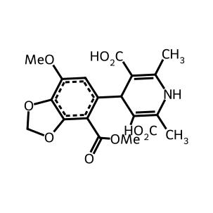 COC(=O)c1c(C2C(C(=O)O)=C(C)NC(C)=C2C(=O)O)cc(OC)c2c1OCO2